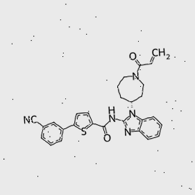 C=CC(=O)N1CCC[C@@H](n2c(NC(=O)c3ccc(-c4cccc(C#N)c4)s3)nc3ccccc32)CC1